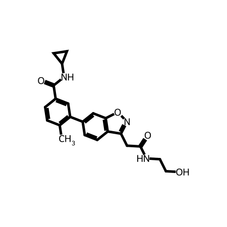 Cc1ccc(C(=O)NC2CC2)cc1-c1ccc2c(CC(=O)NCCO)noc2c1